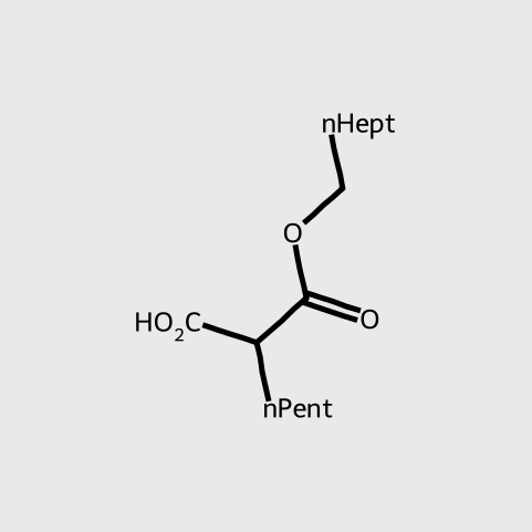 CCCCCCCCOC(=O)C(CCCCC)C(=O)O